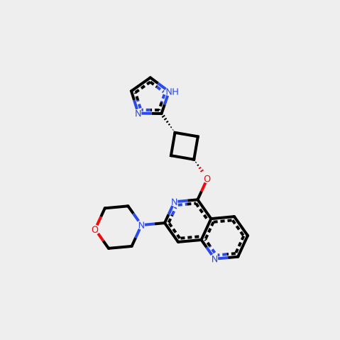 c1cnc2cc(N3CCOCC3)nc(O[C@H]3C[C@@H](c4ncc[nH]4)C3)c2c1